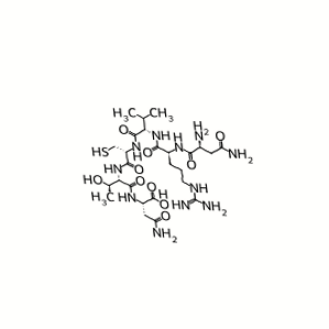 CC(C)[C@H](NC(=O)[C@H](CCCNC(=N)N)NC(=O)[C@@H](N)CC(N)=O)C(=O)N[C@@H](CS)C(=O)N[C@H](C(=O)N[C@@H](CC(N)=O)C(=O)O)[C@@H](C)O